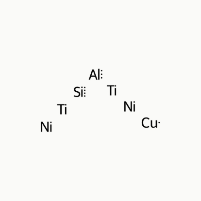 [Al].[Cu].[Ni].[Ni].[Si].[Ti].[Ti]